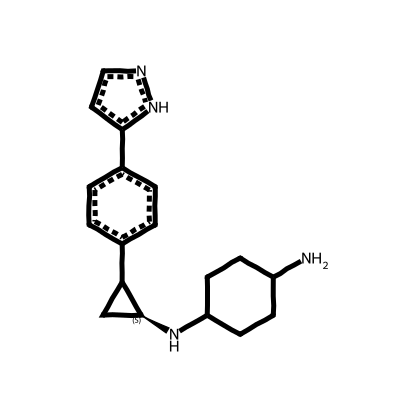 NC1CCC(N[C@H]2CC2c2ccc(-c3ccn[nH]3)cc2)CC1